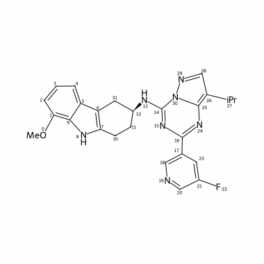 COc1cccc2c3c([nH]c12)CC[C@H](Nc1nc(-c2cncc(F)c2)nc2c(C(C)C)cnn12)C3